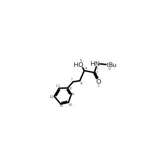 CC(C)(C)NC(=O)C(O)CCc1ccccc1